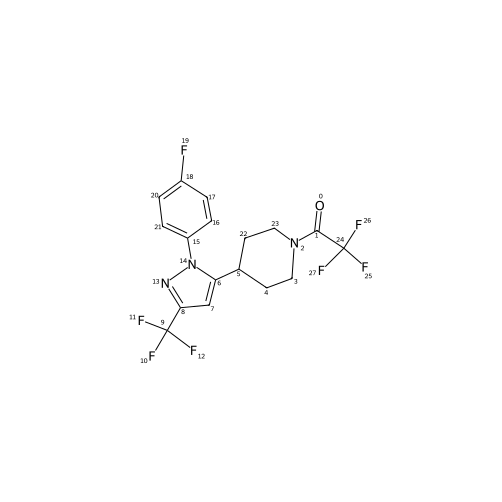 O=C(N1CCC(c2cc(C(F)(F)F)nn2-c2ccc(F)cc2)CC1)C(F)(F)F